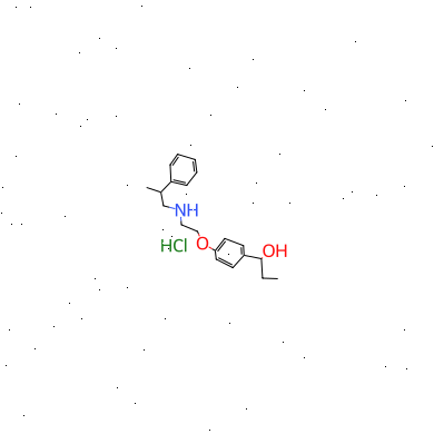 CCC(O)c1ccc(OCCNCC(C)c2ccccc2)cc1.Cl